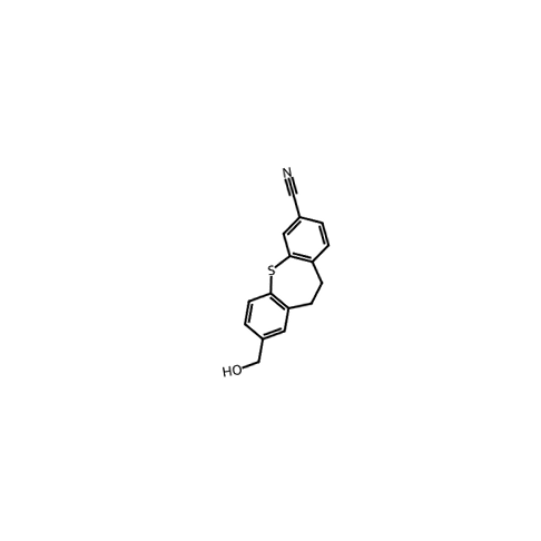 N#Cc1ccc2c(c1)Sc1ccc(CO)cc1CC2